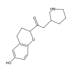 O=C(CC1CCCNC1)C1CCc2cc(O)ccc2O1